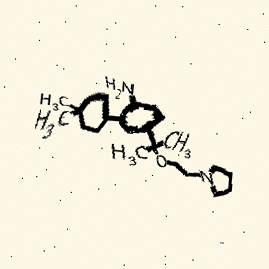 CC1(C)CC=C(c2cc(C(C)(C)OCCN3CCCC3)ccc2N)CC1